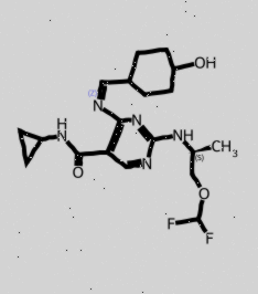 C[C@@H](COC(F)F)Nc1ncc(C(=O)NC2CC2)c(/N=C\C2CCC(O)CC2)n1